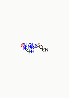 N#Cc1ccc(SN2CCC(Nc3nccc(-c4c(-c5ccc(F)cc5)nc5occn45)n3)CC2)cc1